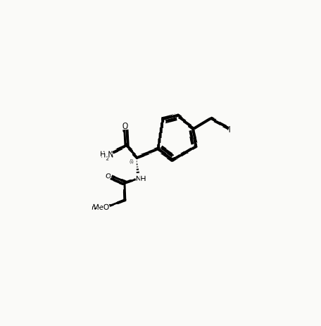 COCC(=O)N[C@H](C(N)=O)c1ccc(CI)cc1